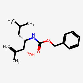 C=C(C)[C@@H](O)[C@H](CC(C)C)NC(=O)OCc1ccccc1